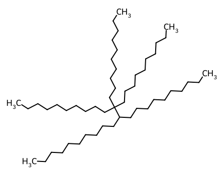 CCCCCCCCCCC(CCCCCCCCCC)C(CCCCCCCCCC)(CCCCCCCCCC)CCCCCCCCCC